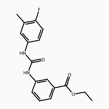 CCOC(=O)c1cccc(NC(=O)Nc2ccc(F)c(C)c2)c1